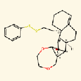 C1=C2CC[C@@H]3C(=CC[C@]45COCCOC4CC[C@@H]35)[C@@]2(CCSSc2ccccc2)CCC1